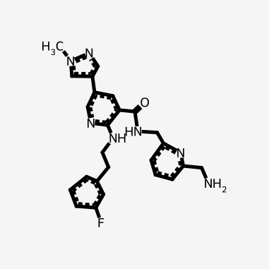 Cn1cc(-c2cnc(NCCc3cccc(F)c3)c(C(=O)NCc3cccc(CN)n3)c2)cn1